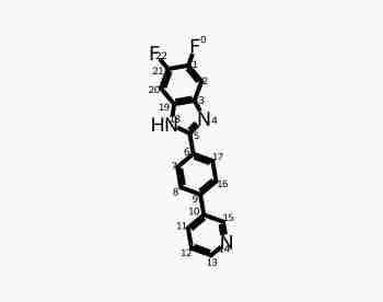 Fc1cc2nc(-c3ccc(-c4cccnc4)cc3)[nH]c2cc1F